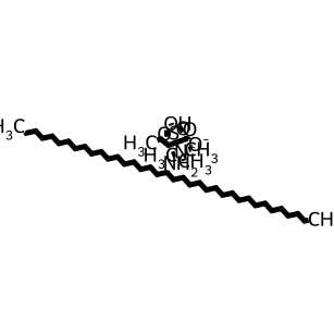 CCCC(C(=O)[O-])([N+](C)(C)C)S(=O)(=O)O.CCCCCCCCCCCCCCCCCCC(N)CCCCCCCCCCCCCCCCCC